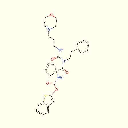 O=C(NC1(C(=O)N(CCc2ccccc2)C(=O)NCCCN2CCOCC2)CC=CC1)Oc1cc2ccccc2s1